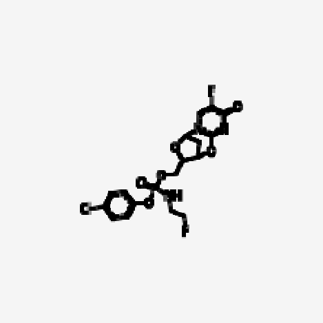 O=c1nc2n(cc1F)C1CC(O2)C(COP(=O)(NCCF)Oc2ccc(Cl)cc2)O1